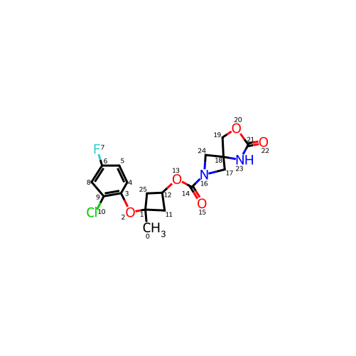 CC1(Oc2ccc(F)cc2Cl)CC(OC(=O)N2CC3(COC(=O)N3)C2)C1